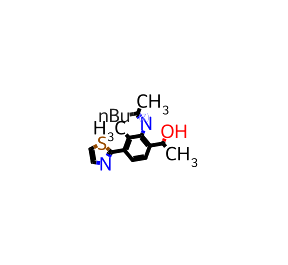 CCCC/C(C)=N\c1c(C(C)O)ccc(-c2nccs2)c1C